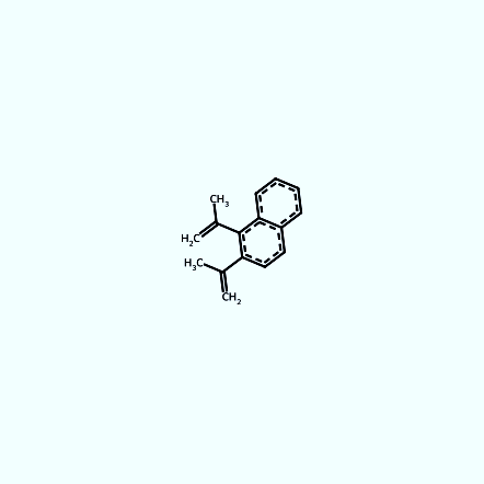 C=C(C)c1ccc2ccccc2c1C(=C)C